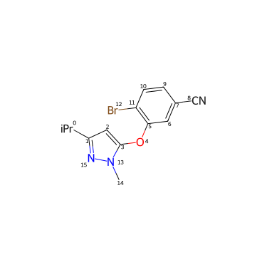 CC(C)c1cc(Oc2cc(C#N)ccc2Br)n(C)n1